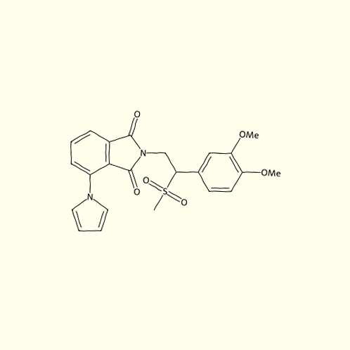 COc1ccc(C(CN2C(=O)c3cccc(-n4cccc4)c3C2=O)S(C)(=O)=O)cc1OC